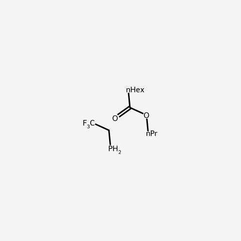 CCCCCCC(=O)OCCC.FC(F)(F)CP